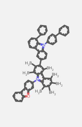 Bc1c(B)c(B)c2c(c1B)c1c(B)c(-c3ccc4c(c3)c3cccc(-c5ccccc5)c3n4-c3ccc(-c4ccccc4)cc3)c(B)c(B)c1n2-c1ccc2c(c1)oc1ccccc12